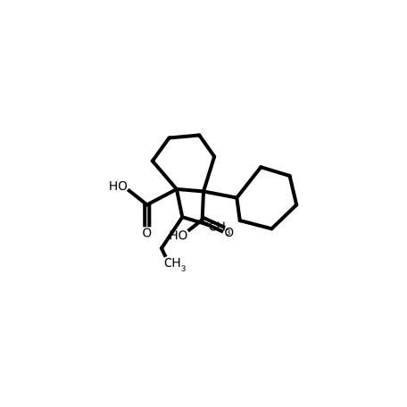 CCC(C)C1(C(=O)O)CCCCC1(C(=O)O)C1CCCCC1